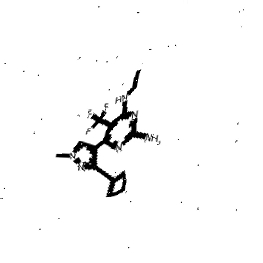 CCNc1nc(N)nc(-c2cn(C)nc2C2CCC2)c1C(F)(F)F